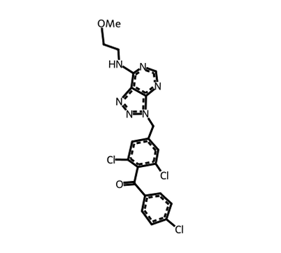 COCCNc1ncnc2c1nnn2Cc1cc(Cl)c(C(=O)c2ccc(Cl)cc2)c(Cl)c1